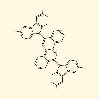 Cc1ccc2c(c1)c1cc(C)ccc1n2-c1cc2c3ccccc3c(-n3c4ccc(C)cc4c4cc(C)ccc43)cc2c2ccccc12